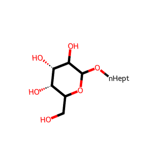 CCCCCCCOC1OC(CO)[C@H](O)[C@H](O)C1O